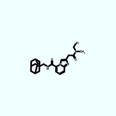 CC(C)CN(C)C(=O)Cc1cn2c(C(=O)NCC34CC5CC(CC(C5)C3)C4)cccc2n1